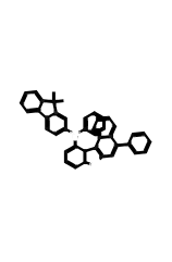 CC1(C)c2ccccc2-c2ccc(N(C3=CC=CC4Oc5cc(-c6ccccc6)c6ccccc6c5C34)c3ccccc3)cc21